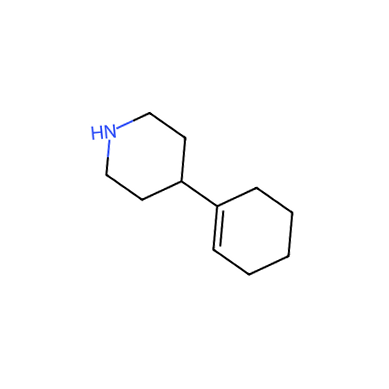 C1=C(C2CCNCC2)CCCC1